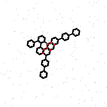 c1ccc(-c2ccc(-c3ccc(N(c4ccc(-c5ccc(-c6ccccc6)cc5)cc4)c4cccc(-c5ccccc5)c4-c4ccccc4-c4ccccc4)cc3)cc2)cc1